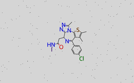 Cc1sc2c(c1C)C(c1ccc(Cl)cc1)=NC(CC(=O)NI)c1nnc(C)n1-2